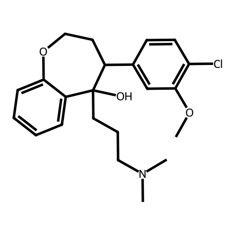 COc1cc(C2CCOc3ccccc3C2(O)CCCN(C)C)ccc1Cl